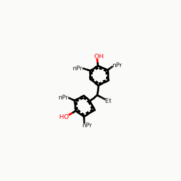 CCCc1cc(C(CC)c2cc(CCC)c(O)c(CCC)c2)cc(CCC)c1O